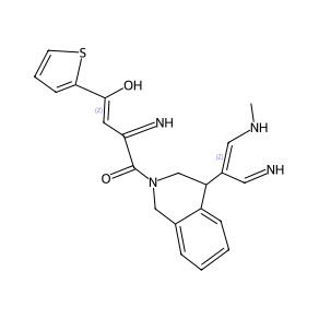 CN/C=C(\C=N)C1CN(C(=O)C(=N)/C=C(\O)c2cccs2)Cc2ccccc21